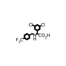 O=C(O)C(NCc1ccc(C(F)(F)F)cc1)c1cc(Cl)cc(Cl)c1